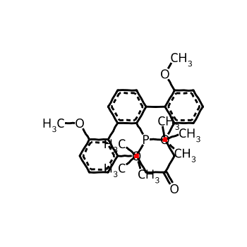 COc1cccc(OC)c1-c1cccc(-c2c(OC)cccc2OC)c1P1C(C)(C)CC(=O)CC1(C)C